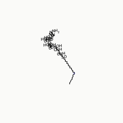 CCCCCCCC/C=C\CCCCCCCCCCCCCC(=O)SCCNC(=O)CCNC(=O)[C@H](O)C(C)(C)COP(=O)(O)OP(=O)(O)OC[C@H]1O[C@@H](n2cnc3c(N)ncnc32)[C@H](O)[C@@H]1OP(=O)(O)O